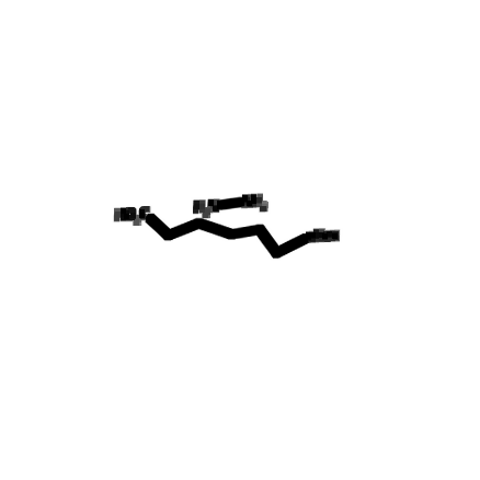 CCCCCCCCCCCC(=O)O.NN